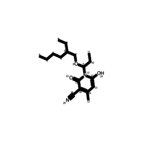 CCCCC(CC)COC(CC)n1c(O)cc(C)c(C#N)c1=O